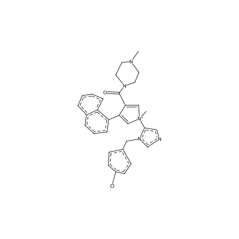 CN1CCN(C(=O)C2=C[N+](C)(c3cncn3Cc3ccc(Cl)cc3)C=C2c2cccc3ccccc23)CC1